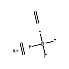 C=C.C=C.F[B-](F)(F)F.[Rh]